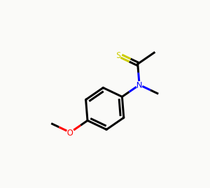 COc1ccc(N(C)C(C)=S)cc1